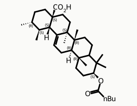 CCCCC(=O)O[C@H]1CC[C@@]2(C)C(CC[C@]3(C)[C@@H]2CC=C2[C@@H]4[C@@H](C)[C@H](C)CC[C@]4(C(=O)O)CC[C@]23C)C1(C)C